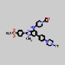 CC(C)N1CCN(c2ccc(-c3cc(NC4CCN(C5COC5)CC4)c4nc(-c5ccc(S(C)(=O)=O)cc5)n(C)c4c3)cc2)CC1